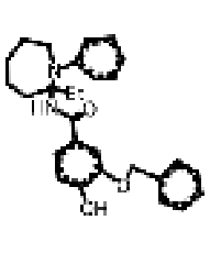 CCC1(NC(=O)c2ccc(O)c(OCc3ccccc3)c2)CCCCCN1c1ccccc1